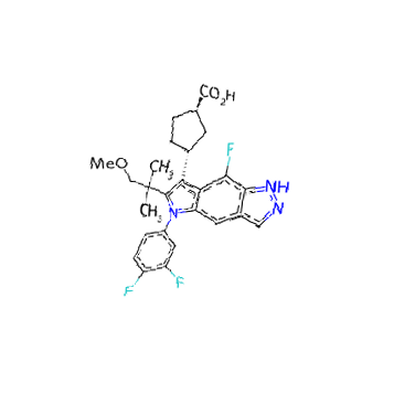 COCC(C)(C)c1c([C@@H]2CC[C@@H](C(=O)O)C2)c2c(F)c3[nH]ncc3cc2n1-c1ccc(F)c(F)c1